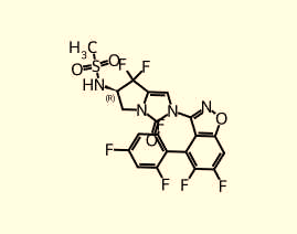 CS(=O)(=O)N[C@@H]1Cn2c(cn(-c3noc4cc(F)c(F)c(-c5c(F)cc(F)cc5F)c34)c2=O)C1(F)F